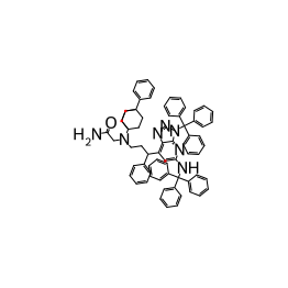 NC(=O)CN(CCC(c1ccccc1)c1cc(NC(c2ccccc2)(c2ccccc2)c2ccccc2)nc2c1nnn2C(c1ccccc1)(c1ccccc1)c1ccccc1)C12CCC(c3ccccc3)(CC1)CC2